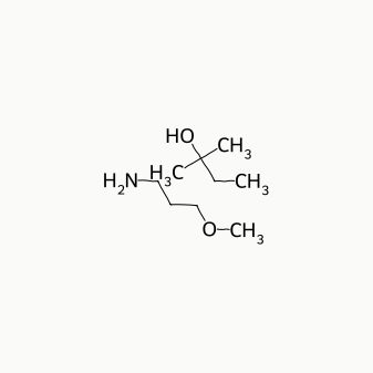 CCC(C)(C)O.COCCCN